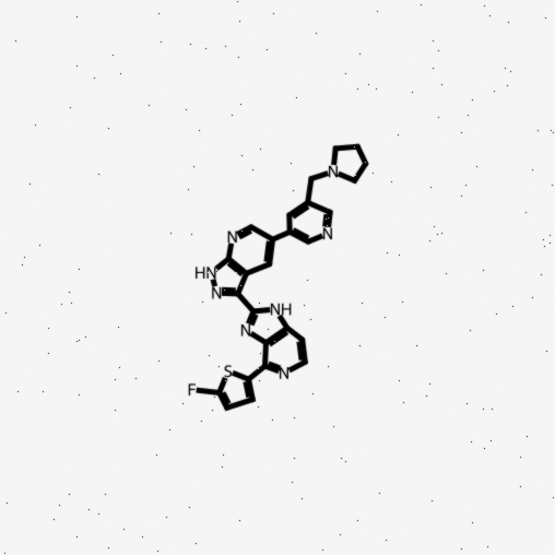 Fc1ccc(-c2nccc3[nH]c(-c4n[nH]c5ncc(-c6cncc(CN7CCCC7)c6)cc45)nc23)s1